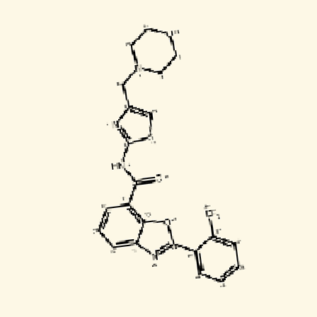 O=C(Nc1nc(CN2CCOCC2)cs1)c1cccc2nc(-c3ccccc3C(F)(F)F)oc12